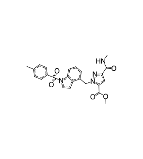 CNC(=O)c1cc(C(=O)OC)n(Cc2cccc3c2ccn3S(=O)(=O)c2ccc(C)cc2)n1